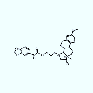 COc1ccc2c(c1)CCC1C2CC[C@]2(C)C(=O)C[C@@H](CCCOC(=O)Nc3ccc4c(c3)OCO4)C12